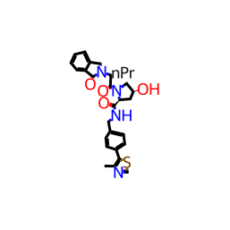 CCCC(C(=O)N1C[C@H](O)C[C@H]1C(=O)NCc1ccc(-c2scnc2C)cc1)N1Cc2ccccc2C1=O